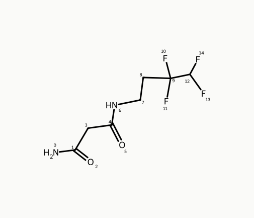 NC(=O)CC(=O)NCCC(F)(F)C(F)F